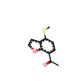 CSc1ccc(C(C)=O)c2occc12